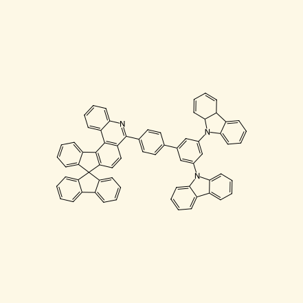 C1=CC2c3ccccc3N(c3cc(-c4ccc(-c5nc6ccccc6c6c7c(ccc56)C5(c6ccccc6-c6ccccc65)c5ccccc5-7)cc4)cc(-n4c5ccccc5c5ccccc54)c3)C2C=C1